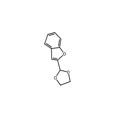 c1ccc2oc(C3OCCO3)cc2c1